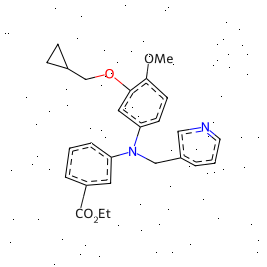 CCOC(=O)c1cccc(N(Cc2cccnc2)c2ccc(OC)c(OCC3CC3)c2)c1